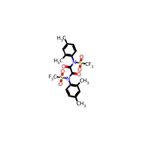 Cc1ccc(N(C(=O)C(=O)N(c2ccc(C)cc2C)S(=O)(=O)C(F)(F)F)S(=O)(=O)C(F)(F)F)c(C)c1